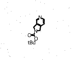 CC(C)(C)OC(=O)N1Cc2ccncc2C1